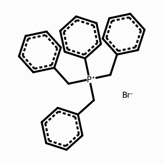 [Br-].c1ccc(C[P+](Cc2ccccc2)(Cc2ccccc2)c2ccccc2)cc1